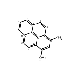 COc1cc(N)c2ccc3cccc4ccc1c2c34